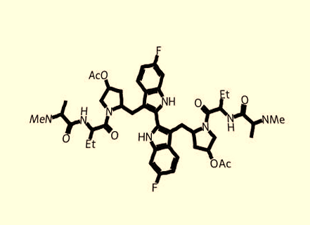 CCC(NC(=O)C(C)NC)C(=O)N1CC(OC(C)=O)CC1Cc1c(-c2[nH]c3cc(F)ccc3c2CC2CC(OC(C)=O)CN2C(=O)C(CC)NC(=O)C(C)NC)[nH]c2cc(F)ccc12